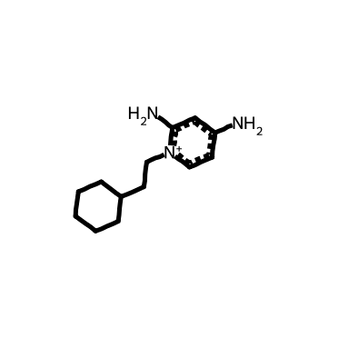 Nc1cc[n+](CCC2CCCCC2)c(N)c1